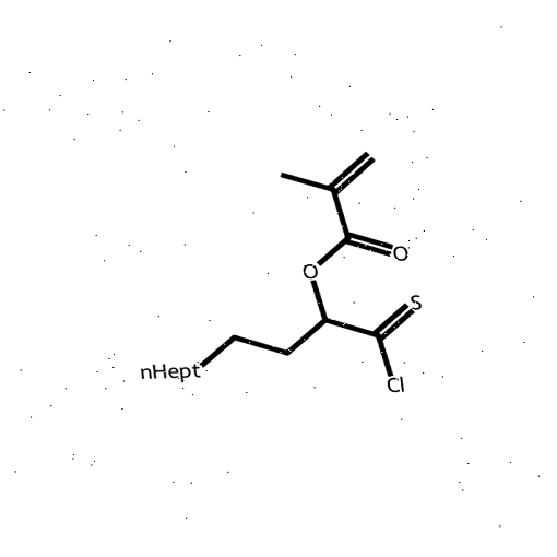 C=C(C)C(=O)OC(CCCCCCCCC)C(=S)Cl